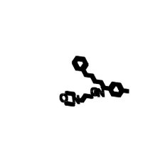 Cc1ccc(C(CCCCc2ccccc2)=NOCCCN2CCOCC2)cc1